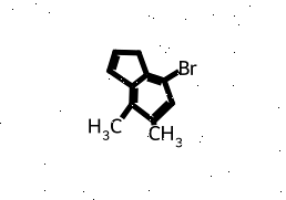 Cc1cc(Br)c2c(c1C)C=CC2